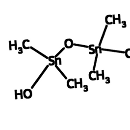 [CH3][Sn]([CH3])([OH])[O][Sn]([CH3])([CH3])[Cl]